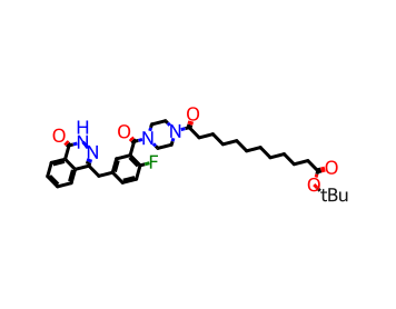 CC(C)(C)OC(=O)CCCCCCCCCCC(=O)N1CCN(C(=O)c2cc(Cc3n[nH]c(=O)c4ccccc34)ccc2F)CC1